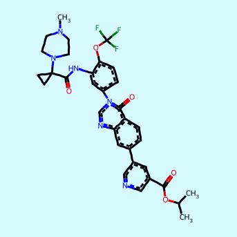 CC(C)OC(=O)c1cncc(-c2ccc3c(=O)n(-c4ccc(OC(F)(F)F)c(NC(=O)C5(N6CCN(C)CC6)CC5)c4)cnc3c2)c1